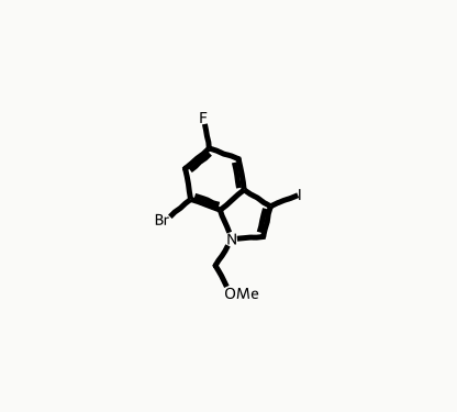 COCn1cc(I)c2cc(F)cc(Br)c21